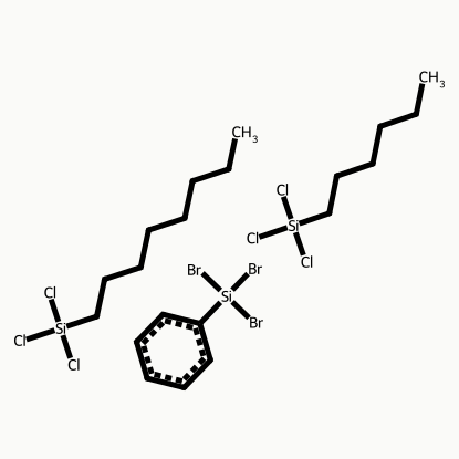 Br[Si](Br)(Br)c1ccccc1.CCCCCCCC[Si](Cl)(Cl)Cl.CCCCCC[Si](Cl)(Cl)Cl